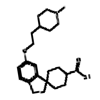 CN1CCC(CCOc2ccc3c(c2)C2(CC3)CCC(C(=O)O)CC2)CC1